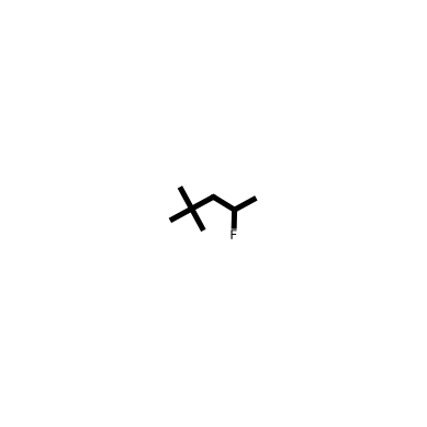 CC(F)CC(C)(C)C